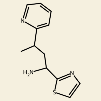 CC(CC(N)c1nccs1)c1ccccn1